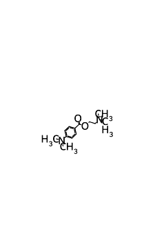 CN(C)CCOC(=O)c1ccc(N(C)C)cc1